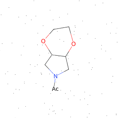 CC(=O)N1CC2OCCOC2C1